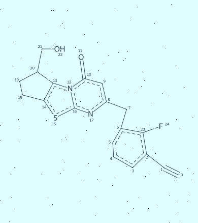 C#Cc1cccc(Cc2cc(=O)n3c4c(sc3n2)CCC4CO)c1F